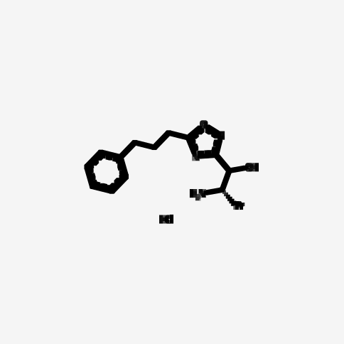 CC(C)[C@H](N)C(O)c1noc(CCCc2ccccc2)n1.Cl